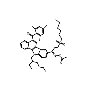 CCCCCCS(=O)(=O)CC/C(=N\OC(C)=O)c1ccc2c(c1)c1cc(C(=O)c3c(C)cc(C)cc3C)c3ccccc3c1n2CC(CC)CCCC